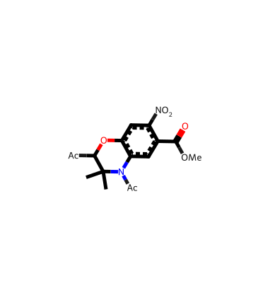 COC(=O)c1cc2c(cc1[N+](=O)[O-])OC(C(C)=O)C(C)(C)N2C(C)=O